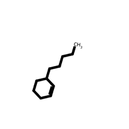 CCCCC[C]1C=CCCC1